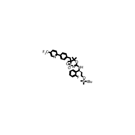 CC1(C)OC(N[C@@H](CCO[Si](C)(C)C(C)(C)C)c2ccccc2F)=NS(=O)(=O)C1(C)Cc1ccc(-c2ccc(C(F)(F)F)cn2)cc1